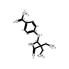 CCC1(CC)C(=O)NC1Oc1ccc(C(C)=O)cc1